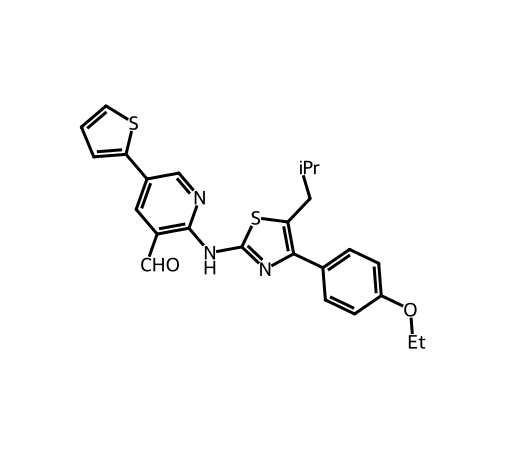 CCOc1ccc(-c2nc(Nc3ncc(-c4cccs4)cc3C=O)sc2CC(C)C)cc1